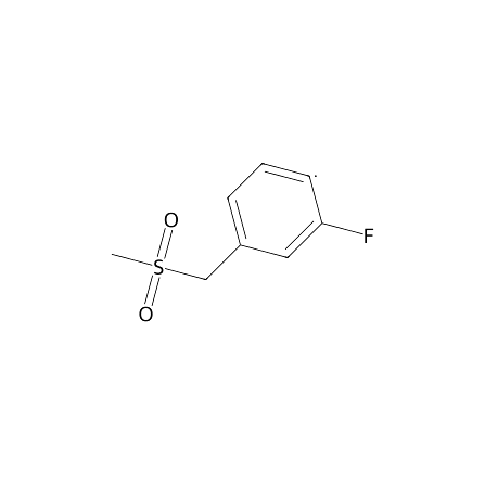 CS(=O)(=O)Cc1cc[c]c(F)c1